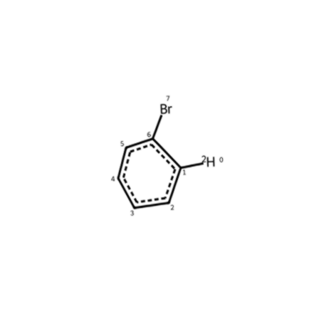 [2H]c1ccccc1Br